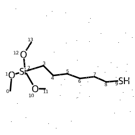 CO[Si](CCCCCCS)(OC)OC